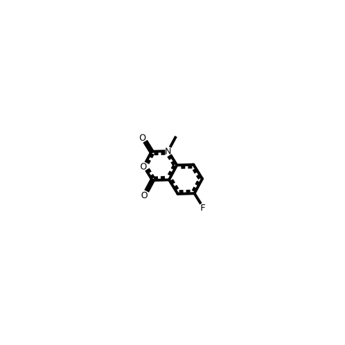 Cn1c(=O)oc(=O)c2cc(F)ccc21